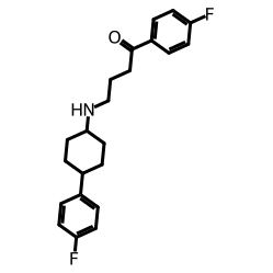 O=C(CCCNC1CCC(c2ccc(F)cc2)CC1)c1ccc(F)cc1